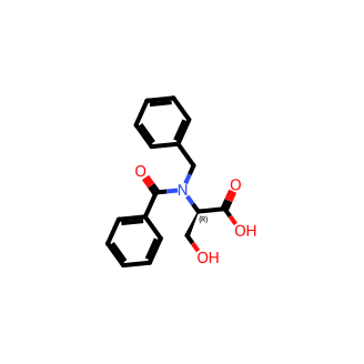 O=C(O)[C@@H](CO)N(Cc1ccccc1)C(=O)c1ccccc1